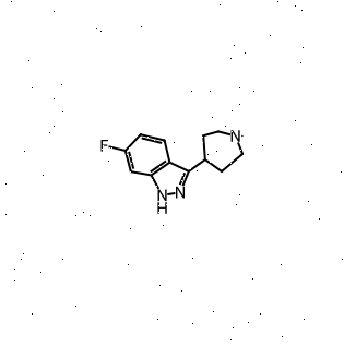 Fc1ccc2c(C3CC[N]CC3)n[nH]c2c1